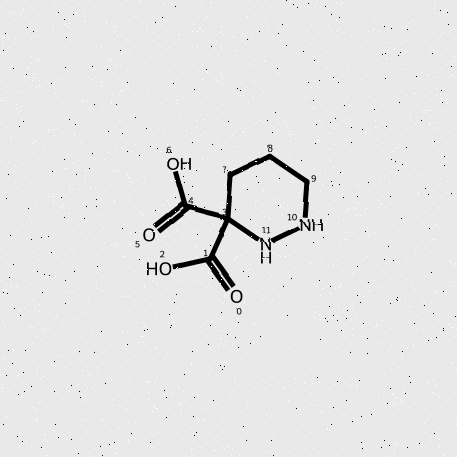 O=C(O)C1(C(=O)O)CCCNN1